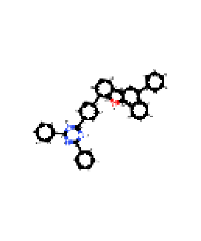 c1ccc(-c2nc(-c3ccccc3)nc(-c3ccc(-c4cccc5c4oc4c6ccccc6c(-c6ccccc6)cc54)cc3)n2)cc1